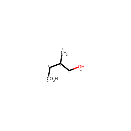 O=C(O)CC(CO)C(F)(F)F